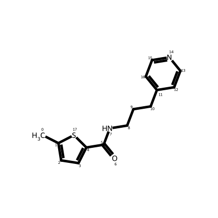 Cc1ccc(C(=O)NCCCc2ccncc2)s1